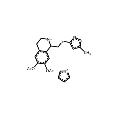 CC(=O)Oc1cc2c(cc1OC(C)=O)C(CSc1nnc(C)s1)NCC2.c1ccsc1